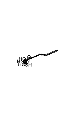 CCCCCCCCCCC#CC#CCCCCCCCCC(=O)OCC1OC(O)C(O)C(O)C1O